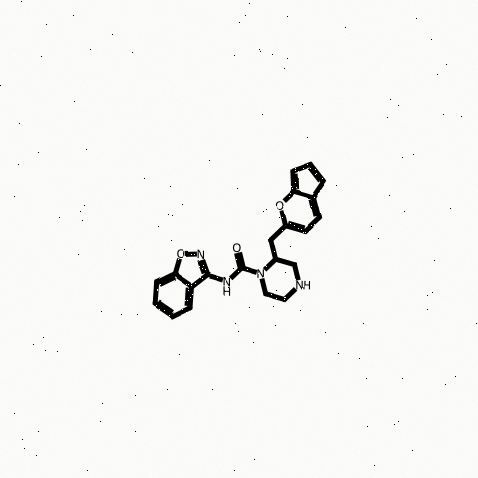 O=C(Nc1noc2ccccc12)N1CCNCC1Cc1ccc2cccc-2o1